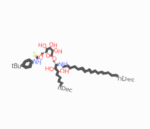 CCCCCCCCCCCCCCCCCCCCCCCCCCN[C@@H](CO[C@@H]1O[C@H](COC(=S)Nc2ccc(C(C)(C)C)cc2)[C@H](O)[C@H](O)[C@H]1O)[C@H](O)[C@H](O)CCCCCCCCCCCCCC